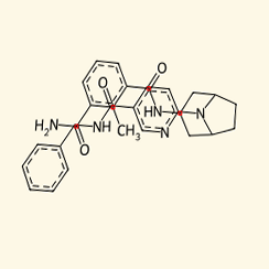 Cc1c(C(N)=O)cccc1C(=O)NC1CC2CCC(C1)N2c1ccc(C(=O)NCc2ccccc2)cn1